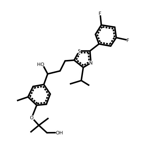 Cc1cc(C(O)CCc2sc(-c3cc(F)cc(F)c3)nc2C(C)C)ccc1OC(C)(C)CO